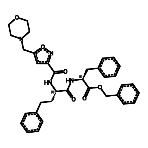 O=C(N[C@@H](CCc1ccccc1)C(=O)N[C@@H](Cc1ccccc1)C(=O)OCc1ccccc1)c1cc(CN2CCOCC2)on1